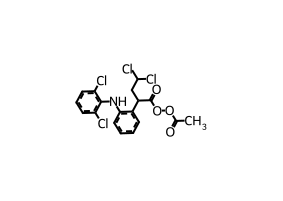 CC(=O)OOC(=O)C(CC(Cl)Cl)c1ccccc1Nc1c(Cl)cccc1Cl